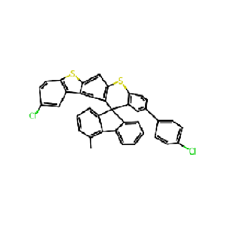 Cc1cccc2c1-c1ccccc1C21c2cc(-c3ccc(Cl)cc3)ccc2Sc2cc3sc4ccc(Cl)cc4c3cc21